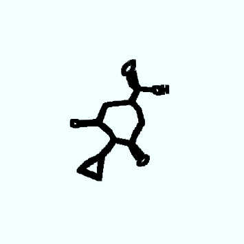 O=C(O)C1CC(=O)C(C2CC2)C(=O)C1